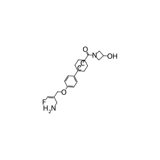 NC/C(=C\F)COc1ccc(C23CCC(C(=O)N4CC(O)C4)(CC2)CC3)cc1